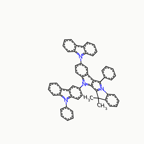 CC1(C)c2ccccc2-n2c(-c3ccccc3)c3c4cc(-n5c6ccccc6c6ccccc65)ccc4n(-c4ccc5c(c4)c4ccccc4n5-c4ccccc4)c3c21